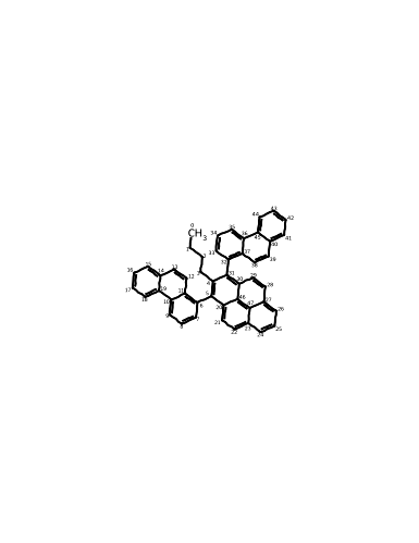 CCCCc1c(-c2cccc3c2ccc2ccccc23)c2ccc3cccc4ccc(c1-c1cccc5c1ccc1ccccc15)c2c34